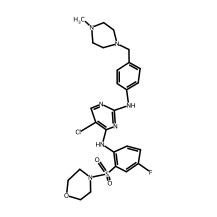 CN1CCN(Cc2ccc(Nc3ncc(Cl)c(Nc4ccc(F)cc4S(=O)(=O)N4CCOCC4)n3)cc2)CC1